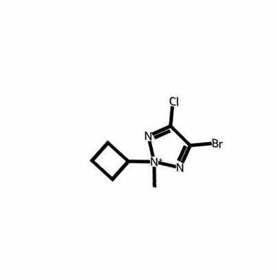 C[N+]1(C2CCC2)N=C(Cl)C(Br)=N1